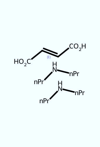 CCCNCCC.CCCNCCC.O=C(O)/C=C/C(=O)O